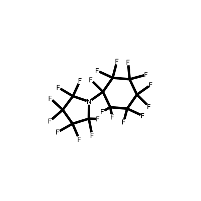 FC1(F)N(C2(F)C(F)(F)C(F)(F)C(F)(F)C(F)(F)C2(F)F)C(F)(F)C(F)(F)C1(F)F